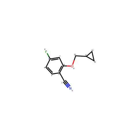 N#Cc1ccc(F)cc1OCC1CC1